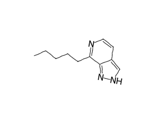 CCCCCc1nccc2c[nH]nc12